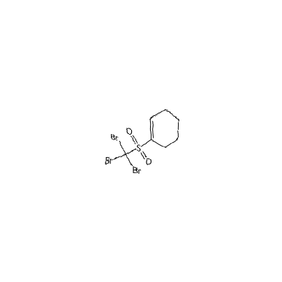 O=S(=O)(C1=CCCCC1)C(Br)(Br)Br